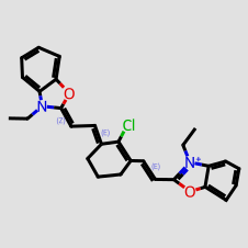 CCN1/C(=C/C=C2\CCCC(/C=C/c3oc4ccccc4[n+]3CC)=C2Cl)Oc2ccccc21